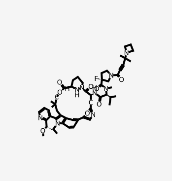 CCn1c(-c2cccnc2[C@H](C)OC)c2c3cc(ccc31)-c1cnc(o1)C[C@H](NC(=O)[C@H](C(C)C)N(C)C(=O)[C@@]1(F)CCN(C(=O)C#CC(C)(C)N3CCC3)C1)C(=O)N1CCC[C@H](N1)C(=O)OCC(C)(C)C2